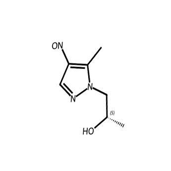 Cc1c(N=O)cnn1C[C@H](C)O